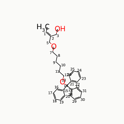 CC=C(CO)COCCCCCCOC(c1ccccc1)(c1ccccc1)c1ccccc1